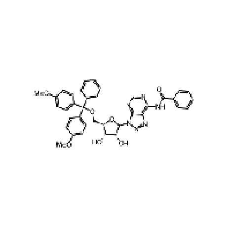 COc1ccc(C(OC[C@H]2O[C@@H](n3nnc4c(NC(=O)c5ccccc5)ncnc43)[C@H](O)[C@@H]2O)(c2ccccc2)c2ccc(OC)cc2)cc1